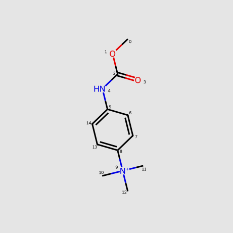 COC(=O)Nc1ccc([N+](C)(C)C)cc1